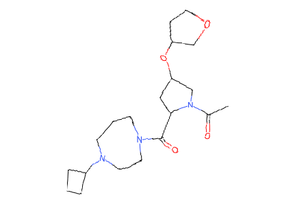 CC(=O)N1CC(OC2CCOC2)CC1C(=O)N1CCCN(C2CCC2)CC1